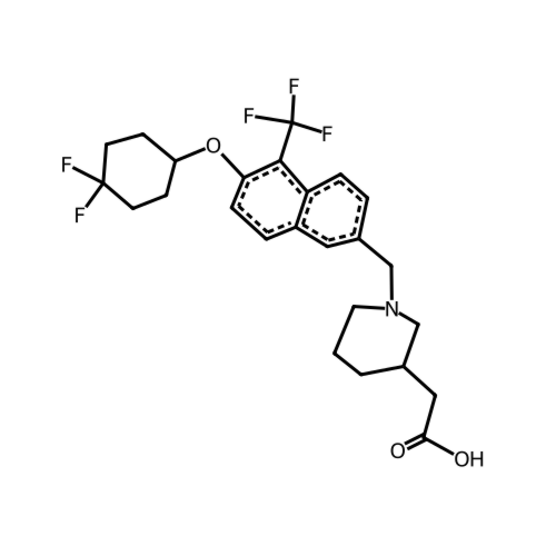 O=C(O)CC1CCCN(Cc2ccc3c(C(F)(F)F)c(OC4CCC(F)(F)CC4)ccc3c2)C1